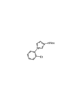 CCCCCC[n+]1ccn(-c2ccccc2CC)c1